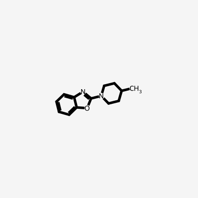 CC1CCN(c2nc3ccccc3o2)CC1